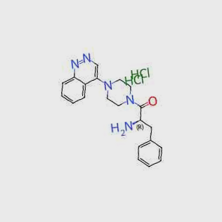 Cl.Cl.N[C@H](Cc1ccccc1)C(=O)N1CCN(c2cnnc3ccccc23)CC1